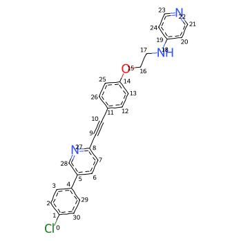 Clc1ccc(-c2ccc(C#Cc3ccc(OCCNc4ccncc4)cc3)nc2)cc1